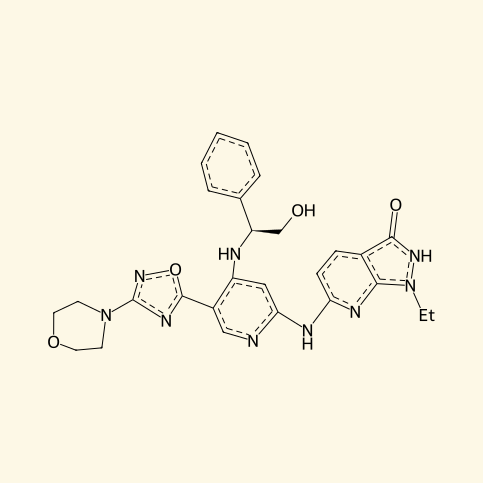 CCn1[nH]c(=O)c2ccc(Nc3cc(N[C@H](CO)c4ccccc4)c(-c4nc(N5CCOCC5)no4)cn3)nc21